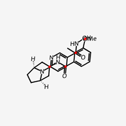 COc1cccc(C(=O)N[C@H]2C[C@H]3CC[C@@H](C2)N3c2ccc(C(=O)NO)cn2)c1C